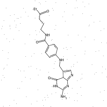 CCC(=O)CCCNC(=O)c1ccc(NCC2=CN=C3N=C(N)NC(=O)C23)cc1